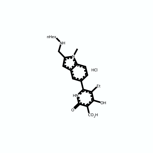 CCCCCCNCc1cc2cc(-c3[nH]c(=O)c(C(=O)O)c(O)c3CC)ccc2n1C.Cl